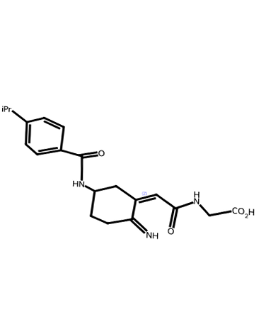 CC(C)c1ccc(C(=O)NC2CCC(=N)/C(=C\C(=O)NCC(=O)O)C2)cc1